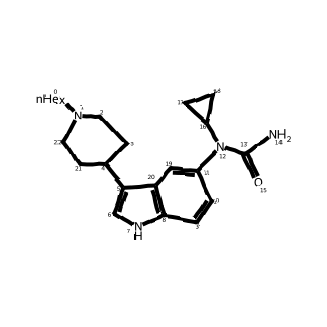 CCCCCCN1CCC(c2c[nH]c3ccc(N(C(N)=O)C4CC4)cc23)CC1